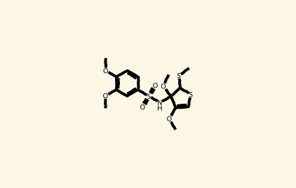 COC1=CSC(SC)C1(NS(=O)(=O)c1ccc(OC)c(OC)c1)OC